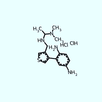 CC(NCc1cscc1-c1cc(N)ccc1N)N(C)C.Cl.Cl